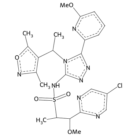 COc1cccc(-c2nnc(NS(=O)(=O)C(C)C(OC)c3ncc(Cl)cn3)n2C(C)c2c(C)noc2C)n1